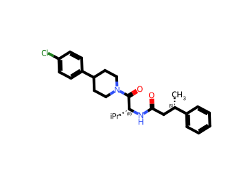 CC(C)[C@@H](NC(=O)C[C@H](C)c1ccccc1)C(=O)N1CCC(c2ccc(Cl)cc2)CC1